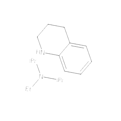 CCN(C(C)C)C(C)C.c1ccc2c(c1)CCCN2